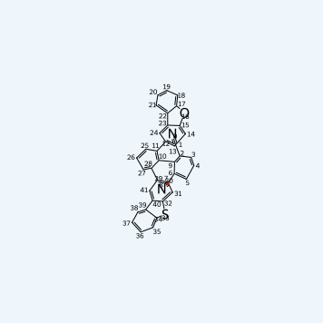 N#Cc1cccc(C#N)c1-c1c(-c2ccc3oc4ccccc4c3c2)cccc1-c1ccc2sc3ccccc3c2c1